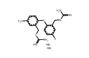 Br.Br.N=C(N)SCc1cc(F)ccc1Sc1ccc(C(F)(F)F)cc1CSC(=N)N